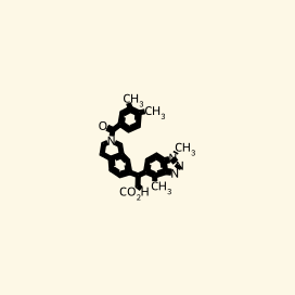 Cc1ccc(C(=O)N2CCc3ccc(C(CC(=O)O)c4ccc5c(nnn5C)c4C)cc3C2)cc1C